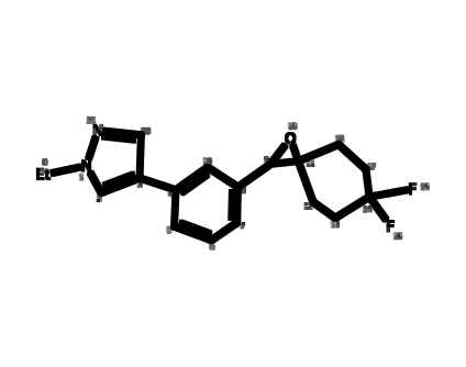 CCn1cc(-c2cccc(C3OC34CCC(F)(F)CC4)c2)cn1